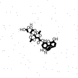 CC(=O)O[C@@H](C(=O)OC1=CC[C@@]2(O)[C@@H]3CCC[C@@]24c2c(ccc(O)c2O[C@@H]14)C3)[C@@H](OC(C)=O)C(=O)O[C@H](CC(=O)O)C(=O)O